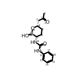 CC(=O)C[C@@H]1CC[C@H](NC(=O)Nc2ccccc2)B(O)O1